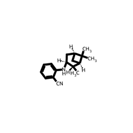 C[C@@H]1[C@@H](Nc2ccccc2C#N)C[C@@H]2C[C@H]1C2(C)C